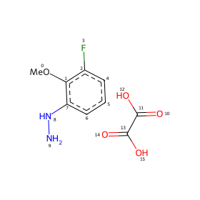 COc1c(F)cccc1NN.O=C(O)C(=O)O